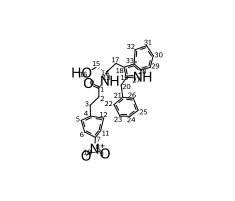 O=C(CCc1ccc([N+](=O)[O-])cc1)N[C@H](CO)Cc1c(Cc2ccccc2)[nH]c2ccccc12